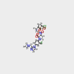 C/C(=C/S(=O)(=O)N(OC=O)C1CCN(c2ccc(-n3ccnc3CN3CCC3)cc2F)C1=O)c1ccc(Cl)s1